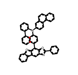 c1ccc(-c2nc3cc4c(oc5ccccc54)c(-c4ccc(N(c5ccc6c(ccc7ccccc76)c5)c5ccccc5-c5ccccc5)cc4)c3o2)cc1